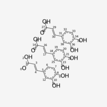 O=C(O)/C=C/c1ccc(O)c(O)c1.O=C(O)C=Cc1ccc(O)c(O)c1.O=C(O)C=Cc1ccc(O)c(O)c1